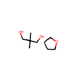 C1CCOC1.CC(C)(CO)CO